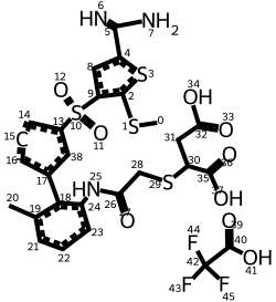 CSc1sc(C(=N)N)cc1S(=O)(=O)c1cccc(-c2c(C)cccc2NC(=O)CSC(CC(=O)O)C(=O)O)c1.O=C(O)C(F)(F)F